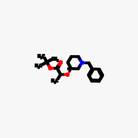 CC(O[C@@H]1CCCN(Cc2ccccc2)C1)C(=O)OC(C)(C)C